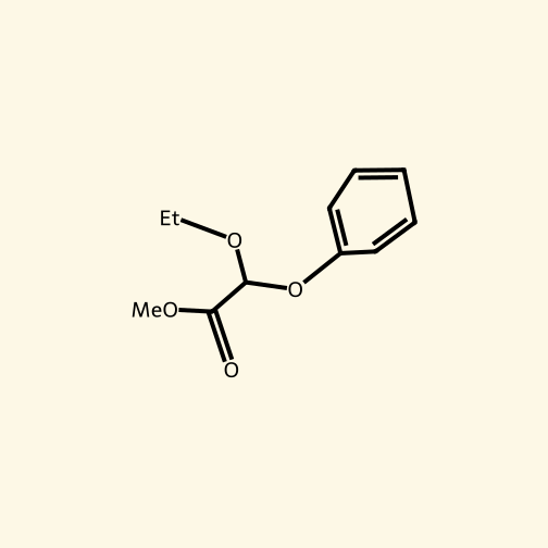 CCOC(Oc1ccccc1)C(=O)OC